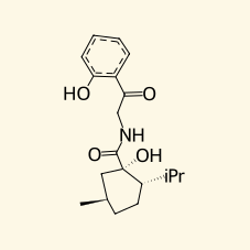 CC(C)[C@@H]1CC[C@@H](C)C[C@@]1(O)C(=O)NCC(=O)c1ccccc1O